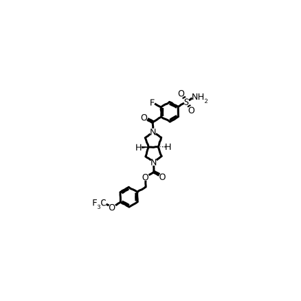 NS(=O)(=O)c1ccc(C(=O)N2C[C@H]3CN(C(=O)OCc4ccc(OC(F)(F)F)cc4)C[C@@H]3C2)c(F)c1